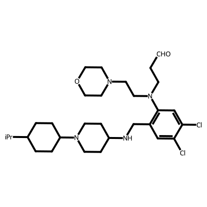 CC(C)C1CCC(N2CCC(NCc3cc(Cl)c(Cl)cc3N(CCC=O)CCN3CCOCC3)CC2)CC1